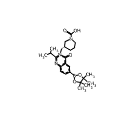 CC(C)c1nc2ccc(B3OC(C)(C)C(C)(C)O3)cc2c(=O)n1C[C@H]1CCCN(C(=O)O)C1